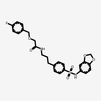 O=C(COCc1ccc(F)cc1)NCCCc1ccc(S(=O)(=O)Nc2ccc3c(c2)OCO3)cc1